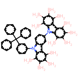 Bc1c(B)c(B)c2c(c1B)c1cc(-n3c4c(B)c(B)c(B)c(B)c4c4c(B)c(B)c(B)c(B)c43)ccc1n2-c1cccc(C(c2ccccc2)(c2ccccc2)c2ccccc2)c1